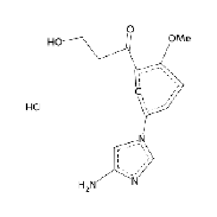 COc1ccc(-n2cnc(N)c2)cc1C(=O)CCO.Cl